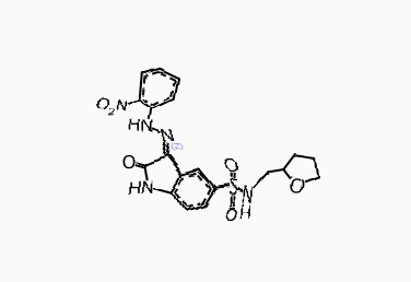 O=C1Nc2ccc(S(=O)(=O)NCC3CCCO3)cc2/C1=N/Nc1ccccc1[N+](=O)[O-]